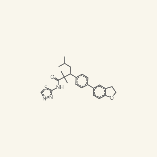 CC(C)CC(c1ccc(-c2ccc3c(c2)CCO3)cc1)C(C)(C)C(=O)Nc1nncs1